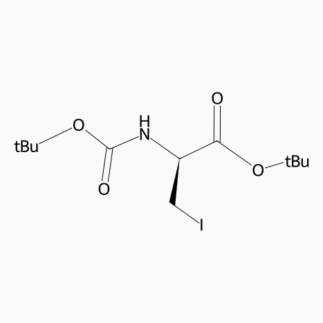 CC(C)(C)OC(=O)N[C@H](CI)C(=O)OC(C)(C)C